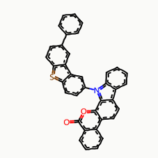 O=c1oc2c(ccc3c4ccccc4n(-c4ccc5sc6ccc(-c7ccccc7)cc6c5c4)c32)c2ccccc12